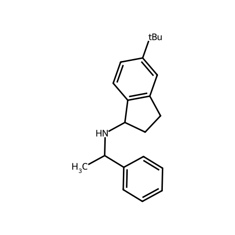 CC(NC1CCc2cc(C(C)(C)C)ccc21)c1ccccc1